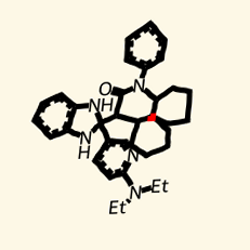 CCN(CC)c1ccc(C2(C(C(=O)N(c3ccccc3)C3CCCCC3)C3CCCCC3)Nc3ccccc3N2)cn1